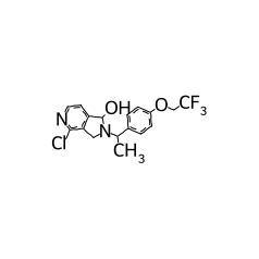 CC(c1ccc(OCC(F)(F)F)cc1)N1Cc2c(ccnc2Cl)C1O